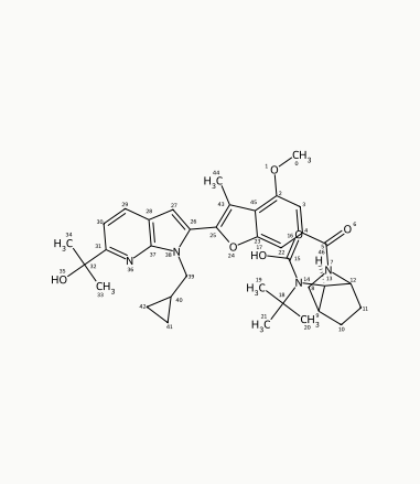 COc1cc(C(=O)N2CC3CCC2[C@@H]3N(C(=O)O)C(C)(C)C)cc2oc(-c3cc4ccc(C(C)(C)O)nc4n3CC3CC3)c(C)c12